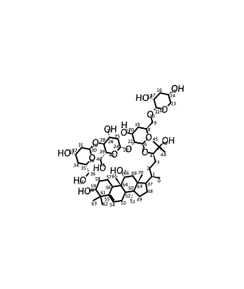 C[C@H](CC[C@@H](O[C@@H]1O[C@H](CO[C@H]2OC[C@@H](O)C[C@H]2O)C[C@H](O)[C@H]1O[C@H]1C[C@@H](O)[C@H](O[C@@H]2C[C@@H](O)C[C@@H](CO)O2)[C@@H](CO)O1)C(C)(C)O)C1CC[C@@]2(C)C3CC=C4C(CC[C@H](O)C4(C)C)[C@]3(C)[C@H](O)C[C@]12C